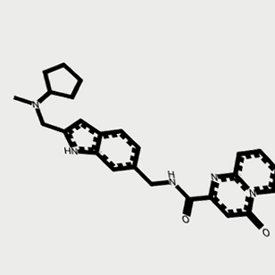 CN(Cc1cc2ccc(CNC(=O)c3cc(=O)n4ccccc4n3)cc2[nH]1)C1CCCC1